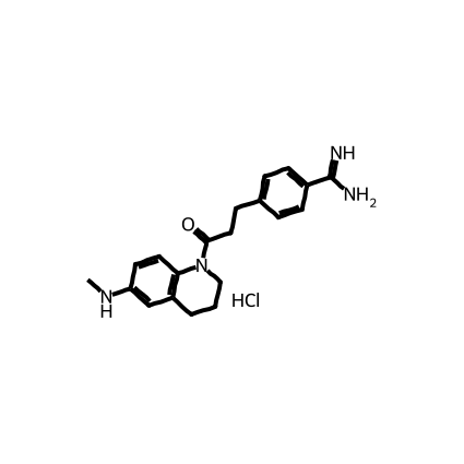 CNc1ccc2c(c1)CCCN2C(=O)CCc1ccc(C(=N)N)cc1.Cl